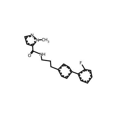 Cn1nccc1C(=O)NCCCc1ccc(-c2ccccc2F)cc1